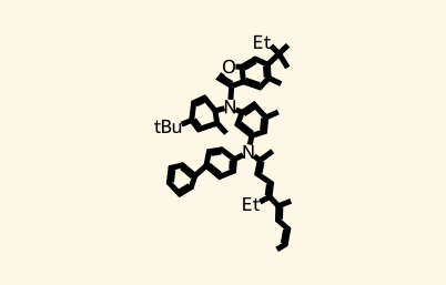 C\C=C/C=C(C)/C(=C/C=C(\C)N(c1ccc(-c2ccccc2)cc1)c1cc(C)cc(N(c2coc3cc(C(C)(C)CC)c(C)cc23)C2C=CC(C(C)(C)C)=CC2C)c1)CC